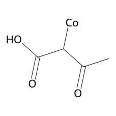 CC(=O)[CH]([Co])C(=O)O